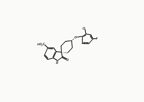 O=C(O)c1ccc2c(c1)[C@]1(CC[C@@H](Oc3ccc(F)cc3Cl)CC1)C(=O)N2